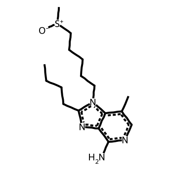 CCCCc1nc2c(N)ncc(C)c2n1CCCCC[S+](C)[O-]